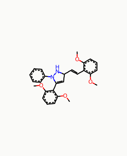 COc1cccc(OC)c1C=CC1C=C(c2c(OC)cccc2OC)N(c2ccccc2)N1